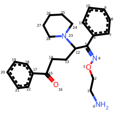 NCCON=C(c1ccccc1)C(CCC(=O)c1ccccc1)N1CCCCC1